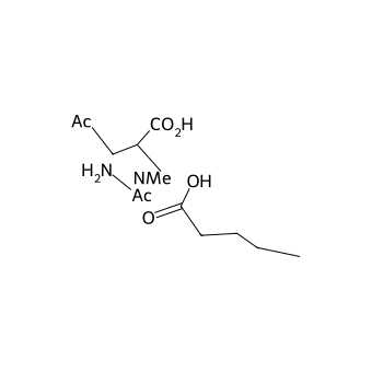 CC(N)=O.CCCCC(=O)O.CNC(CC(C)=O)C(=O)O